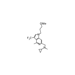 COCCCn1cc(C(F)(F)F)c2c(C)nc(CN(C)C3CC3)cc21